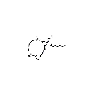 C=C1C[C@H](O)CCO[C@H](C(C)(C)C)C[C@@H]2CCO[C@H](/C=C/C(C)(C)[C@]3(O)OC(C/C(=C\C(=O)OC)[C@@H]3OC(=O)CCCCCCC)C[C@H]([C@@H](C)O)O1)O2